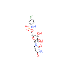 O=c1ccn([C@@H]2O[C@H](COP(=O)(O)Nc3ccc(Cl)cc3)[C@@H](O)[C@H]2O)c(=O)[nH]1